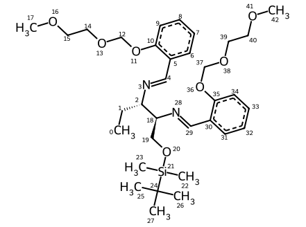 CC[C@H](N=Cc1ccccc1OCOCCOC)[C@H](CO[Si](C)(C)C(C)(C)C)N=Cc1ccccc1OCOCCOC